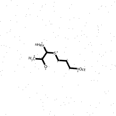 CCCCCCCCCCCSC(CCCCCC)C(C)[O]